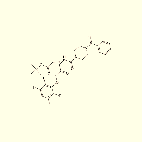 CC(C)(C)OC(=O)C[C@H](NC(=O)C1CCN(C(=O)c2ccccc2)CC1)C(=O)COc1c(F)c(F)cc(F)c1F